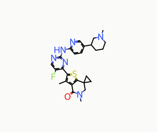 Cc1c(-c2nc(Nc3ccc(C4CCCN(C)C4)cn3)ncc2F)sc2c1C(=O)N(C)CC21CC1